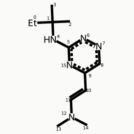 CCC(C)(C)Nc1nncc(C=CN(C)C)n1